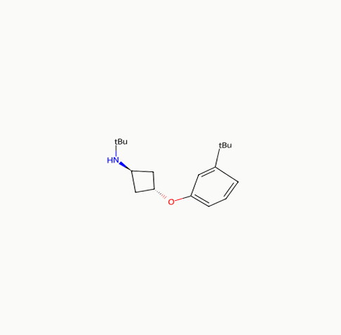 CC(C)(C)N[C@H]1C[C@H](Oc2cccc(C(C)(C)C)c2)C1